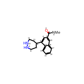 CNC(=O)c1cc(C2CCNNCC2)c2ccccc2c1